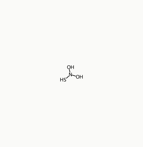 ON(O)S